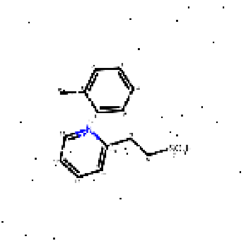 Cc1ccccc1.O=S(=O)(O)CCc1ccccn1